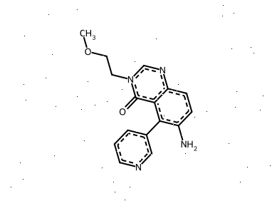 COCCn1cnc2ccc(N)c(-c3cccnc3)c2c1=O